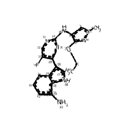 CCOc1nn(C)cc1Nc1ncc(F)c(-c2c[nH]c3c(N)cccc23)n1